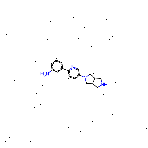 Nc1cccc(-c2ccc(N3CC4CNCC4C3)cn2)c1